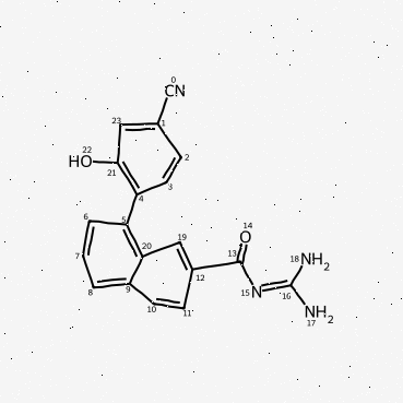 N#Cc1ccc(-c2cccc3ccc(C(=O)N=C(N)N)cc23)c(O)c1